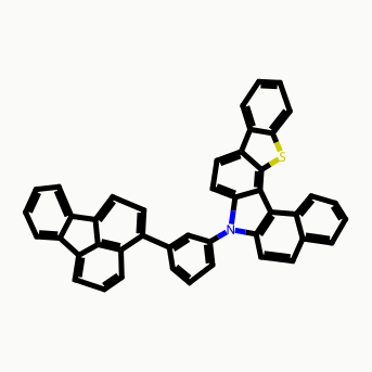 c1cc(-c2ccc3c4c(cccc24)-c2ccccc2-3)cc(-n2c3ccc4ccccc4c3c3c4sc5ccccc5c4ccc32)c1